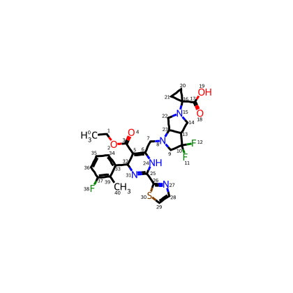 CCOC(=O)C1=C(CN2CC(F)(F)C3CN(C4(C(=O)O)CC4)CC32)NC(c2nccs2)=NC1c1cccc(F)c1C